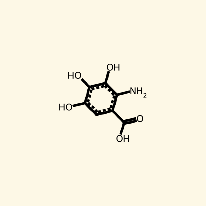 Nc1c(C(=O)O)cc(O)c(O)c1O